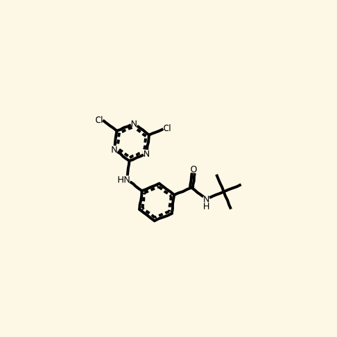 CC(C)(C)NC(=O)c1cccc(Nc2nc(Cl)nc(Cl)n2)c1